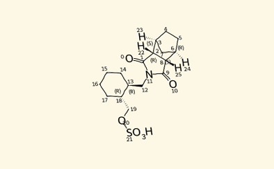 O=C1[C@@H]2[C@H]3CC[C@H](C3)[C@@H]2C(=O)N1C[C@@H]1CCCC[C@H]1COS(=O)(=O)O